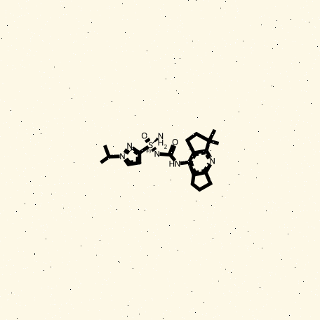 CC(C)n1ccc([S@](N)(=O)=NC(=O)Nc2c3c(nc4c2CCC4(C)C)CCC3)n1